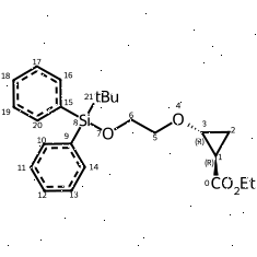 CCOC(=O)[C@@H]1C[C@H]1OCCO[Si](c1ccccc1)(c1ccccc1)C(C)(C)C